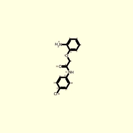 Nc1ccccc1OCC(=O)Nc1ccc(Cl)cc1